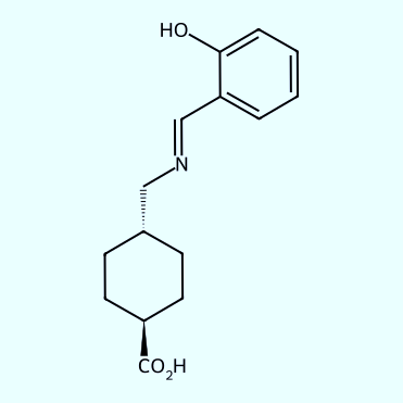 O=C(O)[C@H]1CC[C@H](CN=Cc2ccccc2O)CC1